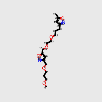 COCCCOCc1cc(COCCOCCCc2cc(C)on2)on1